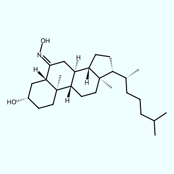 CC(C)CCC[C@@H](C)[C@H]1CC[C@H]2[C@@H]3CC(=NO)[C@H]4C[C@@H](O)CC[C@]4(C)[C@H]3CC[C@]12C